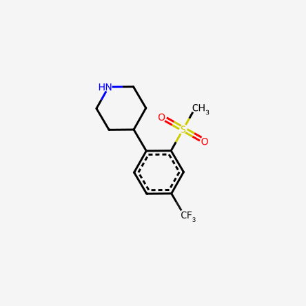 CS(=O)(=O)c1cc(C(F)(F)F)ccc1C1CCNCC1